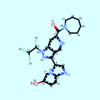 O=C(c1cc2c(cn1)c(-c1cnc3ccc(O)cn13)nn2C(F)C(F)F)N1CCCCCC1